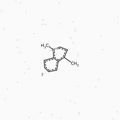 Cc1cc[n+](C)c2ccccc12.[I-]